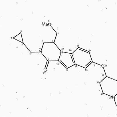 COCC1CN(CC2CC2)C(=O)c2cc3cc(OC4CCN(C(C)C)CC4)ccc3n21